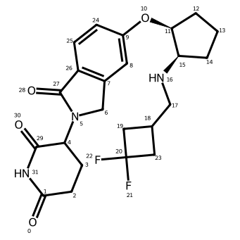 O=C1CCC(N2Cc3cc(O[C@H]4CCC[C@H]4NCC4CC(F)(F)C4)ccc3C2=O)C(=O)N1